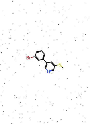 CSc1cncc(-c2cccc(Br)c2)c1